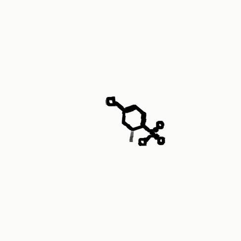 C[C@@H]1CC(Cl)=CC=C1S(=O)(=O)Cl